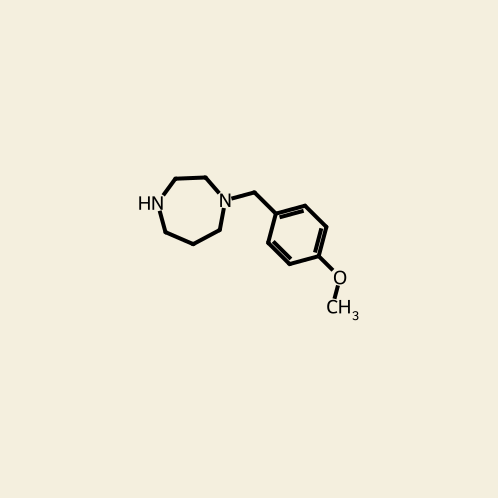 COc1ccc(CN2CCCNCC2)cc1